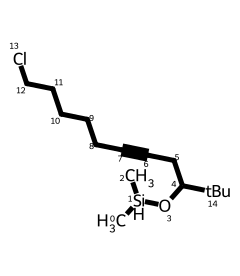 C[SiH](C)OC(CC#CCCCCCCl)C(C)(C)C